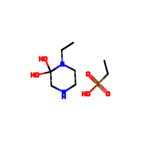 CCN1CCNCC1(O)O.CCS(=O)(=O)O